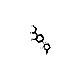 O=C1CC[C@H](c2ccc(C(=O)CBr)c(F)c2)N1